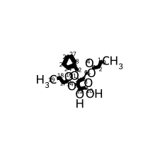 CCCC(=O)OC[C@H]1O[C@H](O)[C@H](O)[C@@H](OC(=O)CCC)[C@@H]1OCc1ccccc1